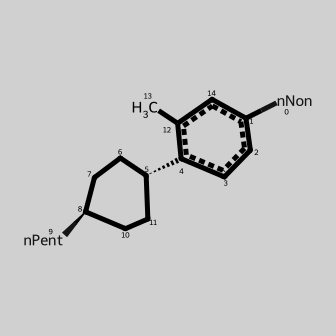 CCCCCCCCCc1ccc([C@H]2CC[C@H](CCCCC)CC2)c(C)c1